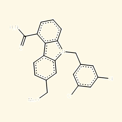 COCc1c[c]c2c3c(C(N)=O)cccc3n(Cc3cc(Cl)cc(Cl)c3)c2c1